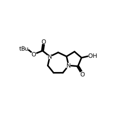 CC(C)(C)OC(=O)N1CCCN2C(=O)C(O)CC2C1